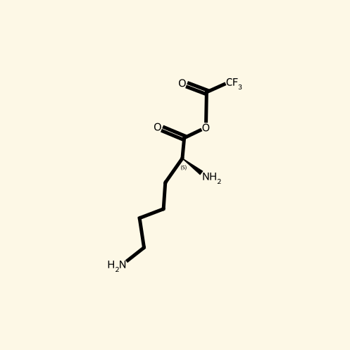 NCCCC[C@H](N)C(=O)OC(=O)C(F)(F)F